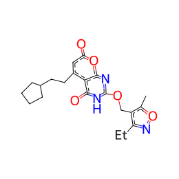 CCc1noc(C)c1COc1nc2oc(=O)cc(CCC3CCCC3)c2c(=O)[nH]1